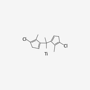 CC1=C(Cl)CC=C1C(C)(C)C1=CCC(Cl)=C1C.[Ti]